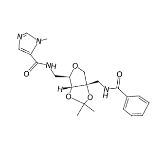 Cn1cncc1C(=O)NC[C@H]1OC[C@]2(CNC(=O)c3ccccc3)OC(C)(C)O[C@H]12